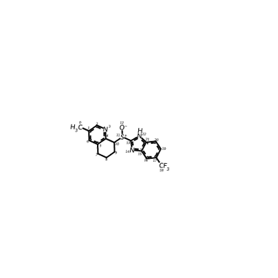 Cc1cnc2c(c1)CCCC2[S+]([O-])c1nc2cc(C(F)(F)F)ccc2[nH]1